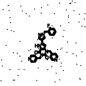 O=c1c2[nH]c(-c3cnn(Cc4ccccc4F)c3)cc2n(Cc2ccncc2)c(=O)n1Cc1ccncc1